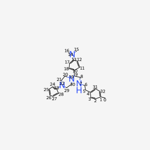 Cc1ccc(CCNCC(c2ccc(N(C)C)cc2)N2CCN(c3ccccc3)CC2)cc1